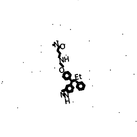 CCC(=C(c1ccc(OCCNCCCC(=O)N(C)C)cc1)c1ccc2[nH]ncc2c1)c1ccccc1